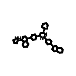 c1ccc(-c2cc(-c3ccc(-c4ccc(-c5ccc[nH]5)c5ccccc45)cc3)nc(-c3ccc(-c4ccc5ccccc5c4)cc3)n2)cc1